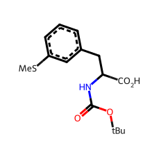 CSc1cccc(CC(NC(=O)OC(C)(C)C)C(=O)O)c1